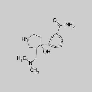 CN(C)CC1CNCCC1(O)c1cccc(C(N)=O)c1